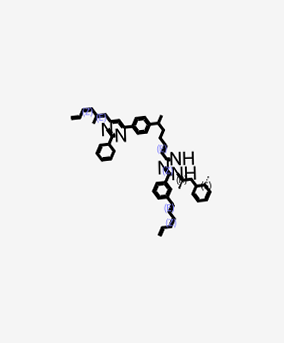 C=C/C=C\C=C\c1cccc(/C(=N/C(=N)/C=C/CCC(C)c2ccc(-c3cc(/C=C(C)/C=C\C=C)nc(C4C=CC=CC4)n3)cc2)N[C@H](C)CC2C=CC=C[C@H]2C)c1